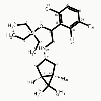 CC[Si](CC)(CC)OC(CN[C@@H]1C[C@@H]2[C@H](C1)C2(C)C)c1c(Cl)ccc(F)c1Cl